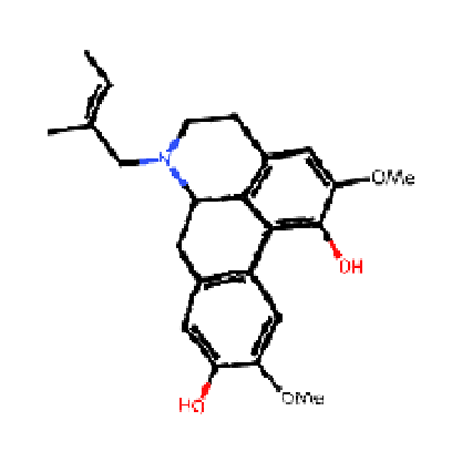 CC=C(C)CN1CCc2cc(OC)c(O)c3c2C1Cc1cc(O)c(OC)cc1-3